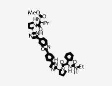 CCNC(=O)N[C@@H](C(=O)N1CCC[C@H]1c1ncc(-c2ccc(-c3nc4ccc(-c5cnc([C@@H]6CCCN6C(=O)[C@@H](NC(=O)OC)C(C)C)[nH]5)cc4o3)cc2)[nH]1)c1ccccc1